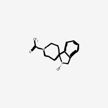 O=C(N1CCC2(CC1)c1ccccc1C[S@+]2[O-])C(F)(F)F